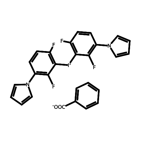 Fc1ccc(-n2cccc2)c(F)c1[I+]c1c(F)ccc(-n2cccc2)c1F.O=C([O-])c1ccccc1